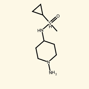 C[SH](=O)(NC1CCN(N)CC1)C1CC1